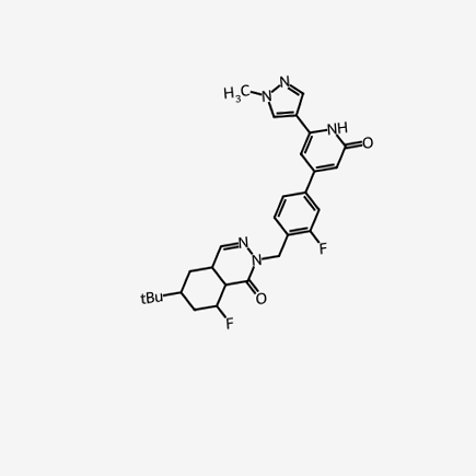 Cn1cc(-c2cc(-c3ccc(CN4N=CC5CC(C(C)(C)C)CC(F)C5C4=O)c(F)c3)cc(=O)[nH]2)cn1